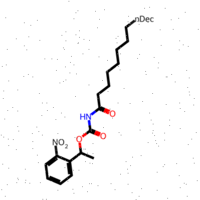 CCCCCCCCCCCCCCCCCC(=O)NC(=O)OC(C)c1ccccc1[N+](=O)[O-]